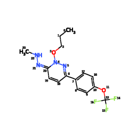 CCCOn1nc(-c2ccc(OC(F)(F)F)cc2)cc/c1=N/NC